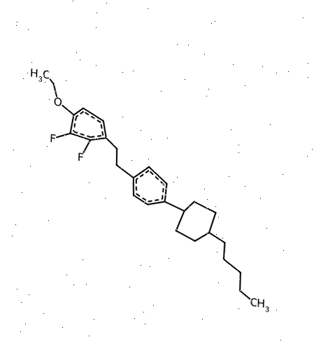 CCCCCC1CCC(c2ccc(CCc3ccc(OCC)c(F)c3F)cc2)CC1